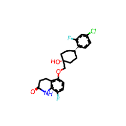 O=C1CCc2c(OC[C@]3(O)CC[C@@H](c4ccc(Cl)cc4F)CC3)ccc(F)c2N1